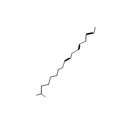 CCC=CCC=CCC=CCCCCCCC(C(=O)O)[N+](=O)[O-]